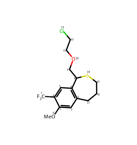 COc1cc2c(cc1C(F)(F)F)C(COCCCl)SCCC2